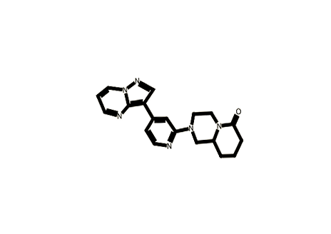 O=C1CCCC2CN(c3cc(-c4cnn5cccnc45)ccn3)CCN12